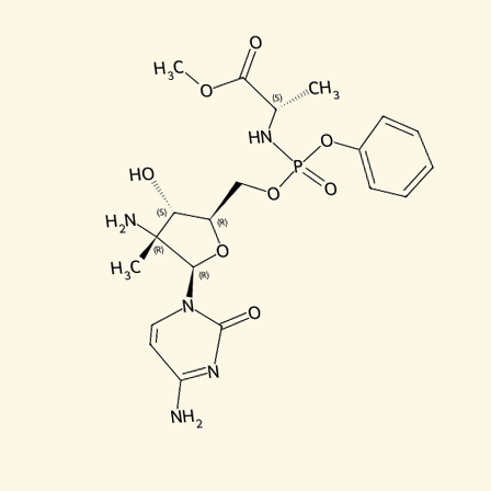 COC(=O)[C@H](C)NP(=O)(OC[C@H]1O[C@@H](n2ccc(N)nc2=O)[C@](C)(N)[C@@H]1O)Oc1ccccc1